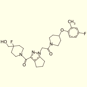 Cc1cc(F)ccc1OC1CCN(C(=O)Cn2nc(C(=O)N3CCC(F)(CO)CC3)c3c2CCC3)CC1